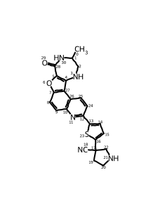 CC1CNc2c(oc3ccc4nc(-c5ccc(C6(C#N)CCNC6)s5)ccc4c23)C(=O)N1